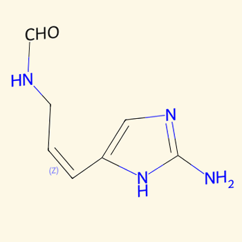 Nc1ncc(/C=C\CNC=O)[nH]1